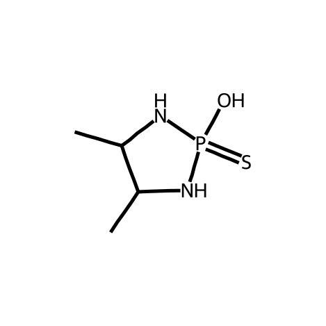 CC1NP(O)(=S)NC1C